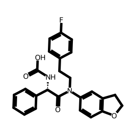 O=C(O)N[C@H](C(=O)N(CCc1ccc(F)cc1)c1ccc2c(c1)CCO2)c1ccccc1